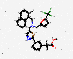 COC(=O)C(C)(C)c1cccc(-c2ncc(CN(Cc3ccc(C(F)(F)F)o3)Cc3c(C)ccc4ccccc34)s2)c1